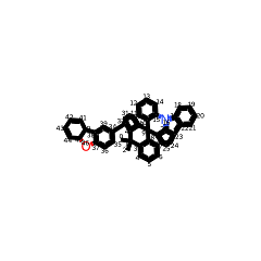 CC1(C)c2ccccc2C2(c3ccccc3-n3c4ccccc4c4cccc2c43)c2cccc(-c3ccc4c(c3)C3C=CC=CC3O4)c21